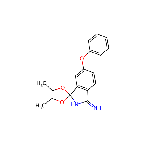 CCOC1(OCC)NC(=N)c2ccc(Oc3ccccc3)cc21